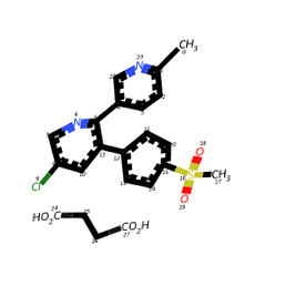 Cc1ccc(-c2ncc(Cl)cc2-c2ccc(S(C)(=O)=O)cc2)cn1.O=C(O)CCC(=O)O